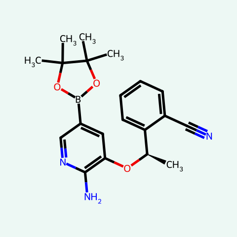 C[C@@H](Oc1cc(B2OC(C)(C)C(C)(C)O2)cnc1N)c1ccccc1C#N